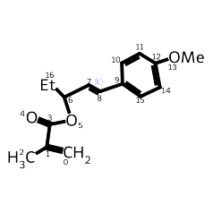 C=C(C)C(=O)OC(/C=C/c1ccc(OC)cc1)CC